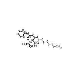 CCOCCCCCCC(CC(=O)Oc1ccccc1)=C(CC(=O)O)C(=O)O